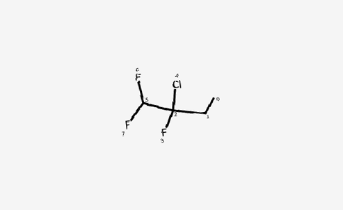 CCC(F)(Cl)C(F)F